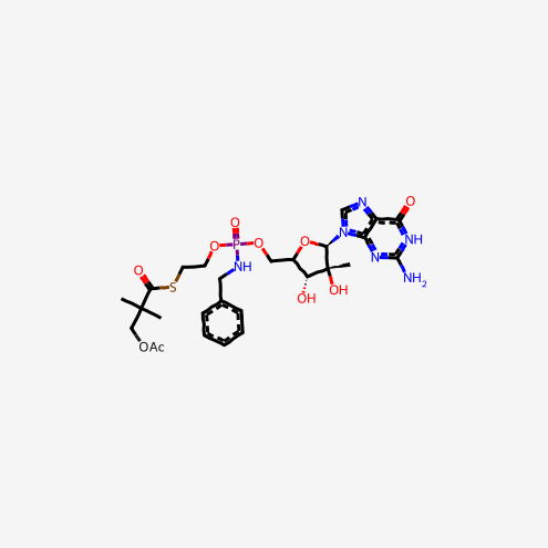 CC(=O)OCC(C)(C)C(=O)SCCOP(=O)(NCc1ccccc1)OCC1O[C@@H](n2cnc3c(=O)[nH]c(N)nc32)[C@](C)(O)[C@@H]1O